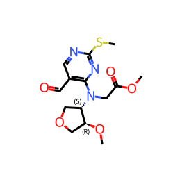 COC(=O)CN(c1nc(SC)ncc1C=O)[C@H]1COC[C@@H]1OC